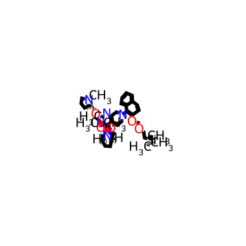 CN1CCC[C@H]1COc1nc2c(c(N3C[C@H]4CC[C@@H](C3)N4C(=O)OC(C)(C)C)n1)CCN(c1c(OCOCC[Si](C)(C)C)ccc3ccccc13)C2